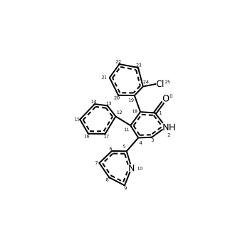 O=c1[nH]cc(-c2ccccn2)c(-c2ccccc2)c1-c1ccccc1Cl